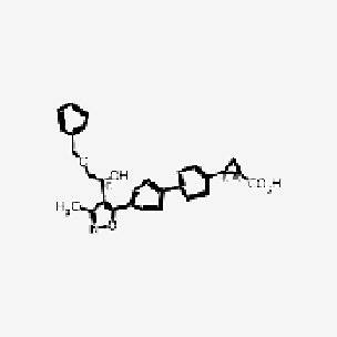 Cc1noc(-c2ccc(-c3ccc([C@H]4C[C@H]4C(=O)O)cc3)cc2)c1[C@@H](O)COCc1ccccc1